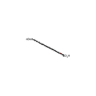 CCCCCCCCCCCCCCCCCCCCCCCCCCCCCCCCCCCCCCCCCCCCCCCCCC(=O)O